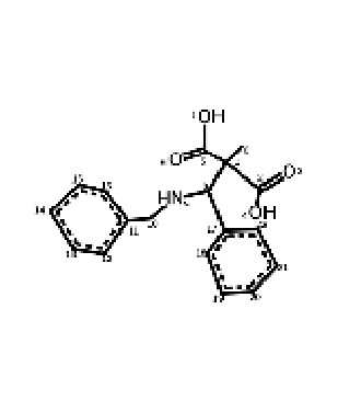 CC(C(=O)O)(C(=O)O)C(NCc1ccccc1)c1ccccc1